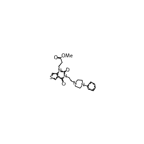 COC(=O)CCn1c(=O)n(CCN2CCN(c3ccccc3)CC2)c(=O)c2cscc21